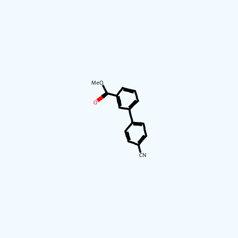 COC(=O)c1cccc(-c2ccc(C#N)cc2)c1